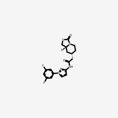 O=C(C[C@H]1CCN2C(=O)OC[C@H]2C1)Nc1ccn(-c2cc(F)cc(F)c2)n1